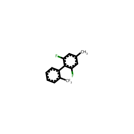 Cc1cc(F)c(-c2[c]cccc2C(F)(F)F)c(F)c1